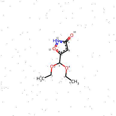 CCOC(OCC)c1cc(=O)[nH]o1